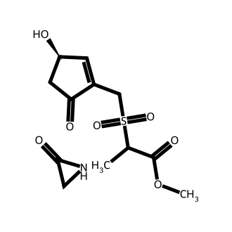 COC(=O)C(C)S(=O)(=O)CC1=C[C@H](O)CC1=O.O=C1CN1